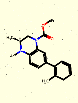 CC(=O)N1c2ccc(C3=C(C)CC=C=C3)cc2N(C(=O)OC(C)C)C[C@@H]1C